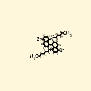 CCCCCCN1c2ccc(Br)c3c2C2c4c1ccc1c(Br)ccc(c41)N(CCCCCC)C2C=C3